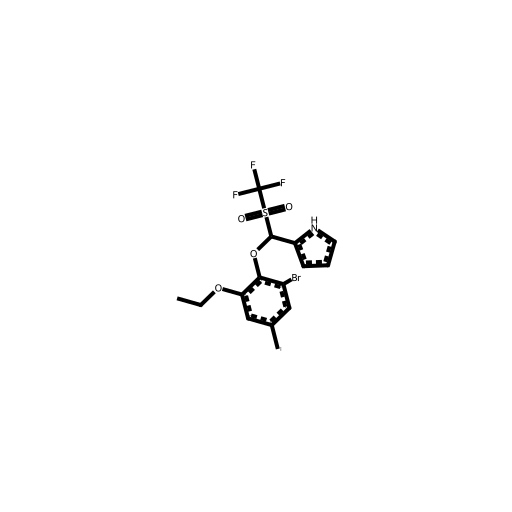 [CH]c1cc(Br)c(OC(c2ccc[nH]2)S(=O)(=O)C(F)(F)F)c(OCC)c1